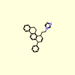 [c]1ccc(C2C=CC(CCn3ccnc3)c3c2ccc2c3CCc3ccccc3-2)cc1